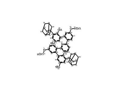 CCCCCCCCOc1ccc(-c2cccc(-c3ccc(OCCCCCCCC)cc3-c3cc(C(C)(C)C)cc(C45CC6CC(CC(C6)C4)C5)c3O)n2)c(-c2cc(C(C)(C)C)cc(C34CC5CC(CC(C5)C3)C4)c2O)c1